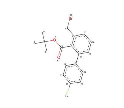 CC(C)(C)OC(=O)c1c(CBr)cccc1-c1ccc(F)cc1